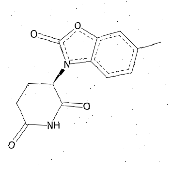 Cc1ccc2c(c1)oc(=O)n2[C@@H]1CCC(=O)NC1=O